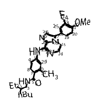 CCCCC(CC)CNC(=O)c1ccc(Nc2nccn3c(-c4ccc(OC)c(F)c4)cnc23)cc1C